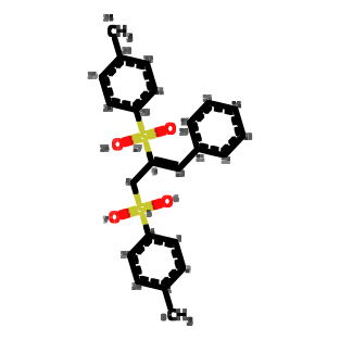 Cc1ccc(S(=O)(=O)CC(=Cc2ccccc2)S(=O)(=O)c2ccc(C)cc2)cc1